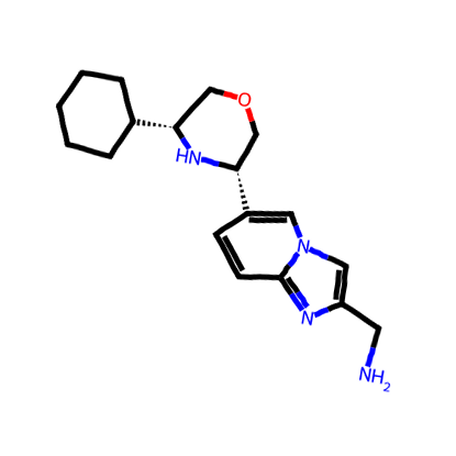 NCc1cn2cc([C@H]3COC[C@@H](C4CCCCC4)N3)ccc2n1